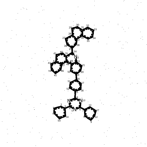 c1ccc(-c2nc(-c3ccccc3)nc(-c3ccc(-c4ccc5nc(-c6ccc7ccc8ccccc8c7c6)c6ccc7ccccc7c6c5c4)cc3)n2)cc1